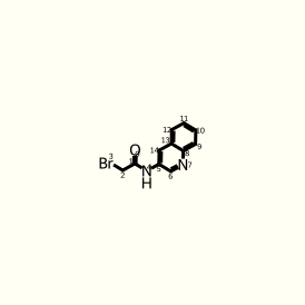 O=C(CBr)Nc1cnc2ccccc2c1